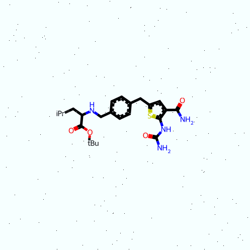 CC(C)CC(NCc1ccc(Cc2cc(C(N)=O)c(NC(N)=O)s2)cc1)C(=O)OC(C)(C)C